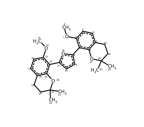 COc1ccc2c(c1-c1ccc(-c3c(OC)ccc4c3OC(C)(C)CC4)o1)OC(C)(C)CC2